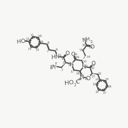 CC(C)C[C@@H](C(=O)NCCCc1ccc(O)cc1)N1CC2N(C(=O)O)O[C@H](Cc3ccccc3)C(=O)N2[C@@H](CCC(N)=O)C1=O